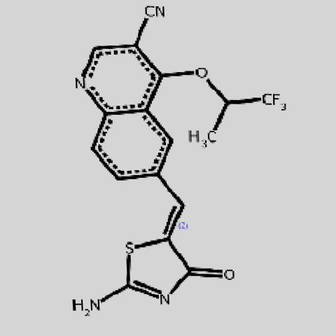 CC(Oc1c(C#N)cnc2ccc(/C=C3\SC(N)=NC3=O)cc12)C(F)(F)F